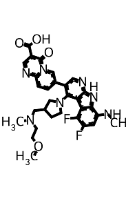 CNc1cc(F)c(F)c2c1[nH]c1ncc(-c3ccc4ncc(C(=O)O)c(=O)n4c3)c(N3CCC(CN(C)CCOC)C3)c12